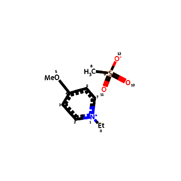 CC[n+]1ccc(OC)cc1.CS(=O)(=O)[O-]